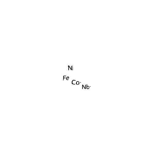 [Co].[Fe].[Nb].[Ni]